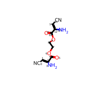 N#CC=C(N)C(=O)OCCOC(=O)C(N)=CC#N